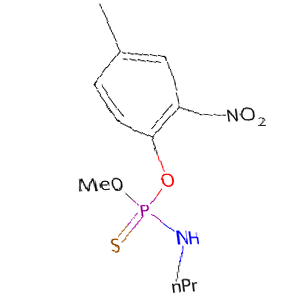 CCCNP(=S)(OC)Oc1ccc(C)cc1[N+](=O)[O-]